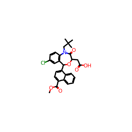 COC(=O)c1ccc(C2OC(CC(=O)O)C(=O)N(CC(C)(C)C)c3ccc(Cl)cc32)c2ccccc12